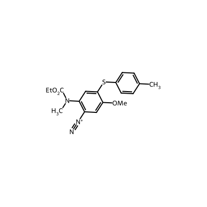 CCOC(=O)N(C)c1cc(Sc2ccc(C)cc2)c(OC)cc1[N+]#N